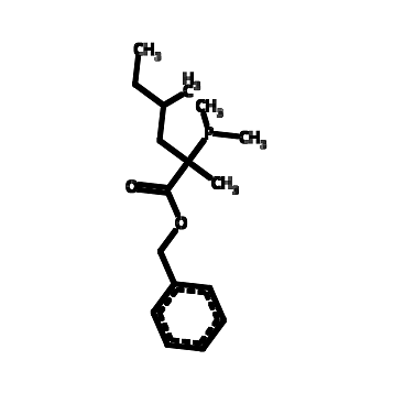 CCC(C)CC(C)(C(=O)OCc1ccccc1)P(C)C